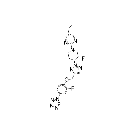 CCc1cnc(N2CC[C@H](n3ncc(COc4ccc(-n5cnnn5)cc4F)n3)[C@@H](F)C2)nc1